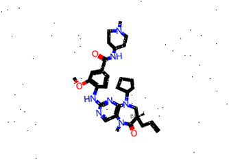 C=CC[C@@]1(C)CN(C2CCCC2)c2nc(Nc3ccc(C(=O)NC4CCN(C)CC4)cc3OC)ncc2N(C)C1=O